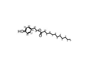 CCCCCCCCCCCC(=O)OCCc1ccc(O)cc1